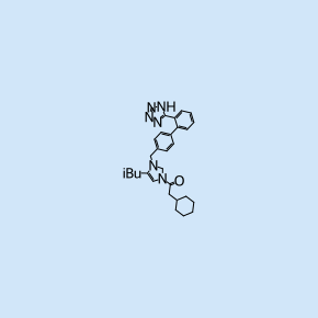 CCC(C)C1=CN(C(=O)CC2CCCCC2)CN1Cc1ccc(-c2ccccc2-c2nnn[nH]2)cc1